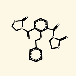 O=C(c1cccc(C(=O)N2CCSC2=S)c1OCc1ccccc1)N1CCSC1=S